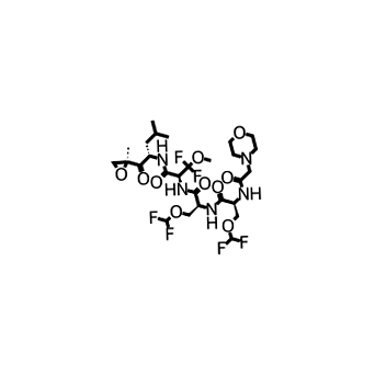 COC(F)(F)[C@@H](NC(=O)[C@H](COC(F)F)NC(=O)[C@H](COC(F)F)NC(=O)CN1CCOCC1)C(=O)N[C@@H](CC(C)C)C(=O)[C@]1(C)CO1